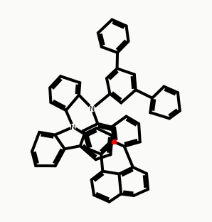 c1ccc(-c2cc(-c3ccccc3)cc(N(c3ccc(-c4cccc5cccc(-c6ccccc6)c45)cc3)c3ccccc3-n3c4ccccc4c4ccccc43)c2)cc1